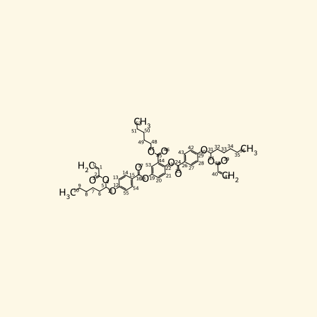 C=CC(=O)OC(CCCCC)Oc1ccc(C(=O)Oc2ccc(OC(=O)c3ccc(OC(CCCCC)OC(=O)C=C)cc3)c(C(=O)OCCCCC)c2)cc1